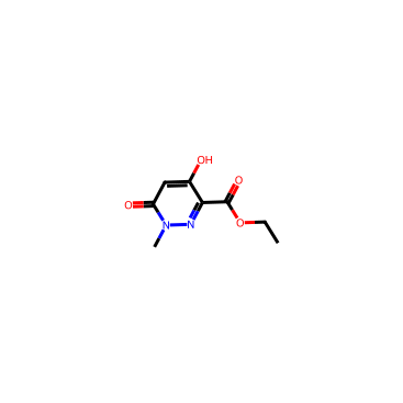 CCOC(=O)c1nn(C)c(=O)cc1O